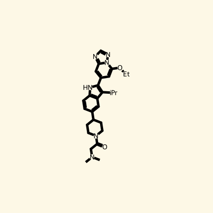 CCOc1cc(-c2[nH]c3ccc(C4CCN(C(=O)CN(C)C)CC4)cc3c2C(C)C)cc2ncnn12